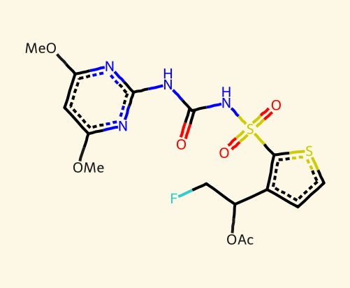 COc1cc(OC)nc(NC(=O)NS(=O)(=O)c2sccc2C(CF)OC(C)=O)n1